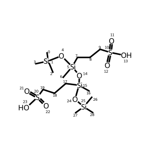 C[Si](C)(C)O[Si](C)(CCCS(=O)(=O)O)O[Si](C)(CCCS(=O)(=O)O)O[Si](C)(C)C